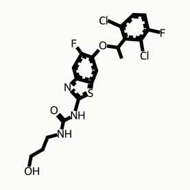 CC(Oc1cc2sc(NC(=O)NCCCO)nc2cc1F)c1c(Cl)ccc(F)c1Cl